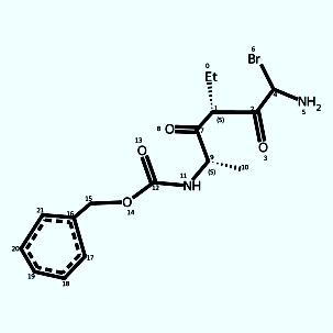 CC[C@H](C(=O)C(N)Br)C(=O)[C@H](C)NC(=O)OCc1ccccc1